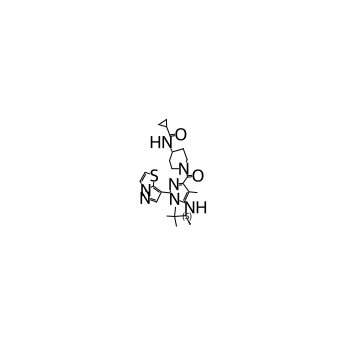 Cc1c(N[C@@H](C)C(C)(C)C)nc(-c2cnn3ccsc23)nc1C(=O)N1CCC(NC(=O)C2CC2)CC1